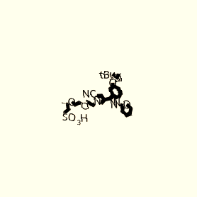 C[C@@H](CCS(=O)(=O)O)OCCOCCn1cc(-c2nn(C3CCCCO3)c3ccc(O[Si](C)(C)C(C)(C)C)cc23)cc1C#N